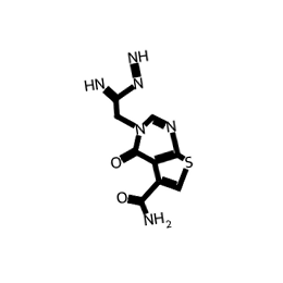 N=NC(=N)Cn1cnc2scc(C(N)=O)c2c1=O